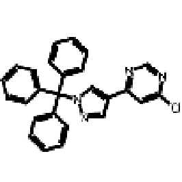 Clc1cc(-c2cnn(C(c3ccccc3)(c3ccccc3)c3ccccc3)c2)ncn1